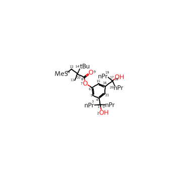 CCCC(O)(CCC)c1cc(OC(=O)C(C)(CSC)C(C)(C)C)cc(C(O)(CCC)CCC)c1